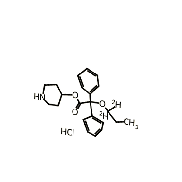 Cl.[2H]C([2H])(CC)OC(C(=O)OC1CCNCC1)(c1ccccc1)c1ccccc1